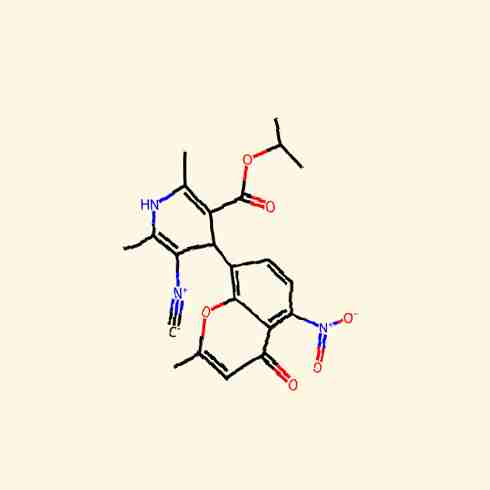 [C-]#[N+]C1=C(C)NC(C)=C(C(=O)OC(C)C)C1c1ccc([N+](=O)[O-])c2c(=O)cc(C)oc12